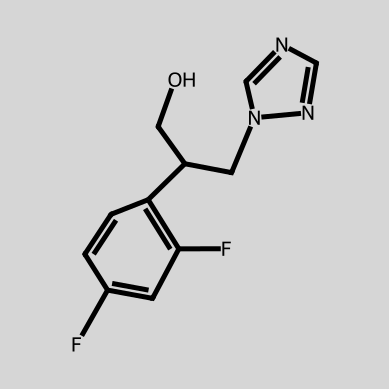 OCC(Cn1cncn1)c1ccc(F)cc1F